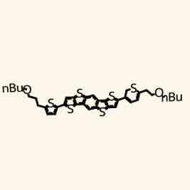 CCCCOCCCc1ccc(-c2cc3sc4cc5c(cc4c3s2)sc2cc(C3=CC=C(CCOCCCC)SC3)sc25)s1